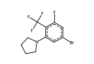 Fc1cc(Br)cc(N2CCCC2)c1C(F)(F)F